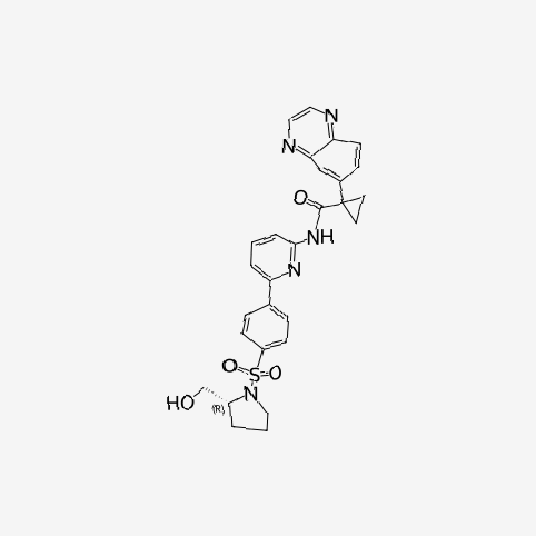 O=C(Nc1cccc(-c2ccc(S(=O)(=O)N3CCC[C@@H]3CO)cc2)n1)C1(c2ccc3nccnc3c2)CC1